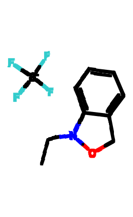 CCN1OCc2ccccc21.F[B-](F)(F)F